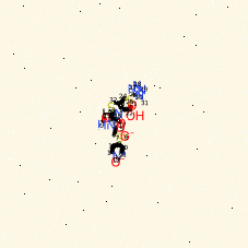 CO[C@@]1(NC(=O)C[S+]([O-])c2cc[n+]([O-])cc2)C(=O)N2C(C(=O)O)=C(CSc3nnnn3C)CS[C@H]21